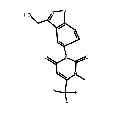 Cn1c(C(F)(F)F)cc(=O)n(-c2ccc3snc(CO)c3c2)c1=O